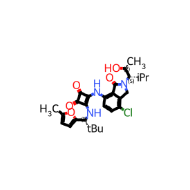 Cc1ccc([C@H](Nc2c(Nc3ccc(Cl)c4c3C(=O)N([C@@H](C(C)C)[C@@H](C)O)C4)c(=O)c2=O)C(C)(C)C)o1